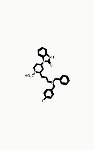 O=C(O)N1CCC(n2c(=O)[nH]c3ccccc32)CC1CCCN(Cc1ccccc1)Cc1ccc(F)cc1